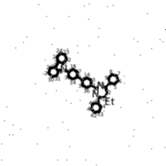 CC[C@H]1C=C(c2ccccc2)N=C(c2ccc(-c3ccc(-n4c5ccccc5c5ccccc54)cc3)cc2)N=C1c1ccccc1